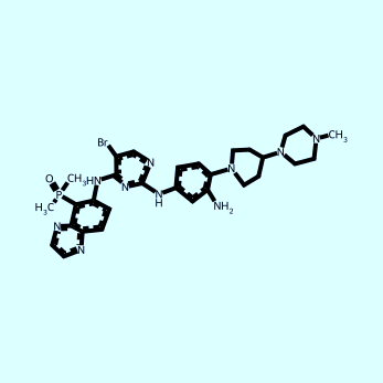 CN1CCN(C2CCN(c3ccc(Nc4ncc(Br)c(Nc5ccc6nccnc6c5P(C)(C)=O)n4)cc3N)CC2)CC1